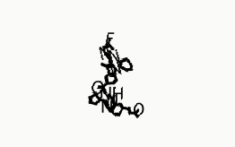 CC(=O)/C=C/c1ccc2nc(C3(NC(=O)c4ccc5c(c4)c(C)c(-c4ncc(F)cn4)n5C4CCCCC4)CC=CC3)n(C)c2c1